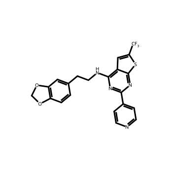 FC(F)(F)c1cc2c(NCCc3ccc4c(c3)OCO4)nc(-c3ccncc3)nc2s1